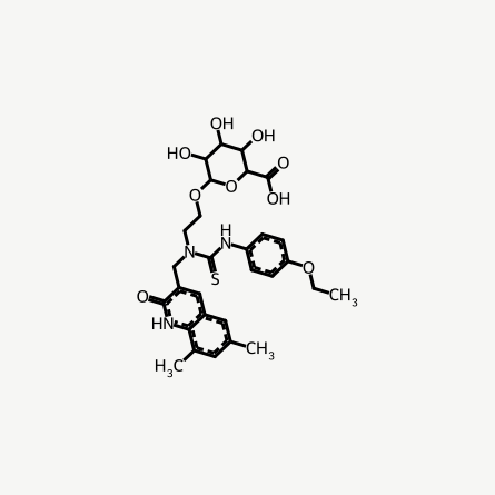 CCOc1ccc(NC(=S)N(CCOC2OC(C(=O)O)C(O)C(O)C2O)Cc2cc3cc(C)cc(C)c3[nH]c2=O)cc1